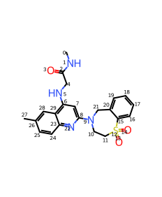 CNC(=O)CNc1cc(N2CCS(=O)(=O)c3ccccc3C2)nc2ccc(C)cc12